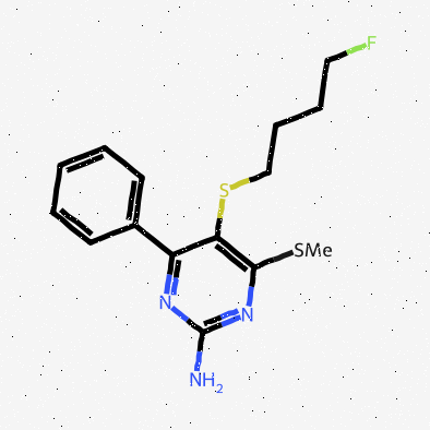 CSc1nc(N)nc(-c2ccccc2)c1SCCCCF